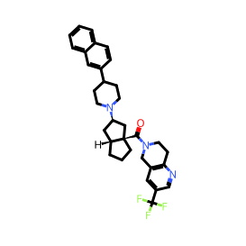 O=C(N1CCc2ncc(C(F)(F)F)cc2C1)[C@@]12CCC[C@@H]1C[C@@H](N1CCC(c3ccc4ccccc4c3)CC1)C2